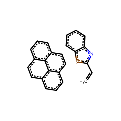 C=Cc1nc2ccccc2s1.c1cc2ccc3cccc4ccc(c1)c2c34